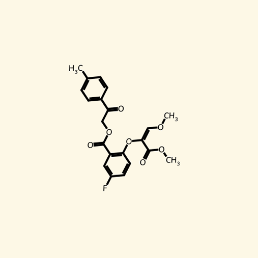 COC=C(Oc1ccc(F)cc1C(=O)OCC(=O)c1ccc(C)cc1)C(=O)OC